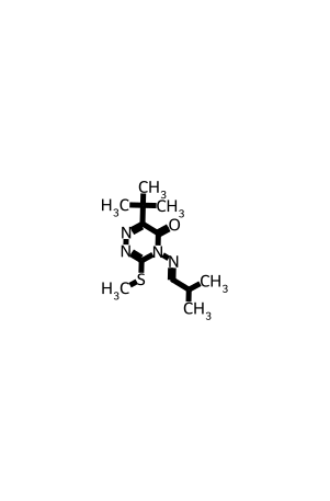 CSc1nnc(C(C)(C)C)c(=O)n1N=CC(C)C